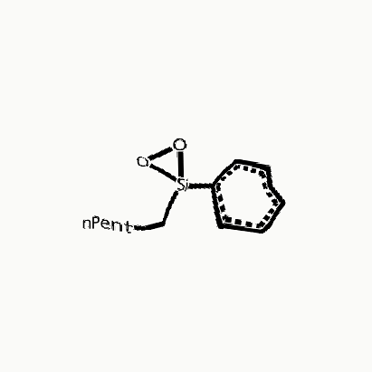 CCCCCC[Si]1(c2ccccc2)OO1